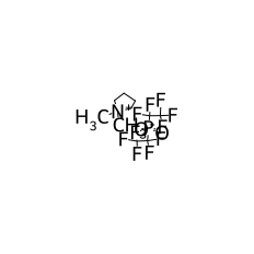 C[N+]1(C)CCCC1.O=P([O-])(C(F)(F)C(F)(F)F)C(F)(F)C(F)(F)F